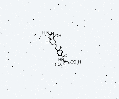 Nc1nc(O)c2c(n1)NCC(CCc1ccc(C(=O)N[C@@H](CCC(=O)O)C(=O)O)cc1F)C2